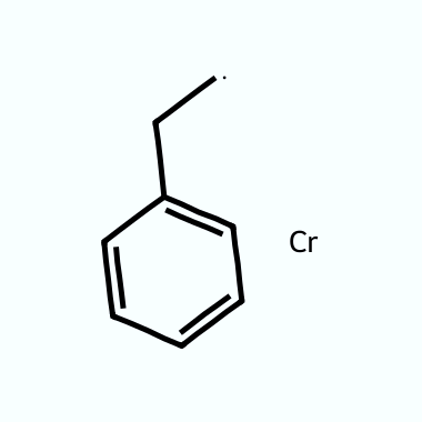 [CH2]Cc1ccccc1.[Cr]